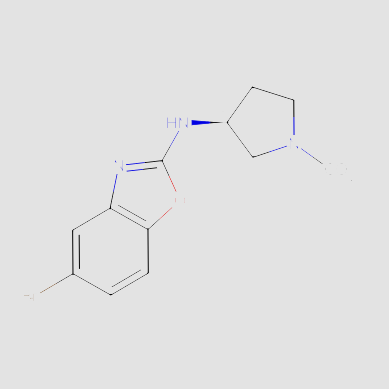 O=C(O)N1CC[C@H](Nc2nc3cc(Br)ccc3o2)C1